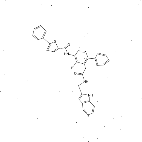 O=C(Cc1c(-c2ccccc2)ccc(NC(=O)c2ccc(-c3ccccc3)s2)c1F)NCc1cc2cnccc2[nH]1